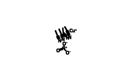 CC#N.CC#N.CC#N.CC#N.O=[N+]([O-])[O-].[Cu+]